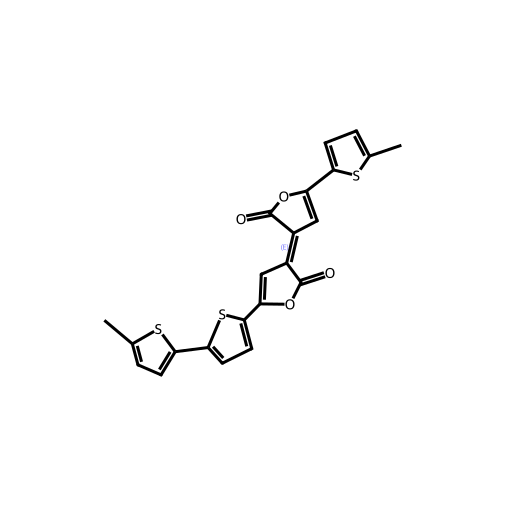 Cc1ccc(C2=C/C(=C3/C=C(c4ccc(-c5ccc(C)s5)s4)OC3=O)C(=O)O2)s1